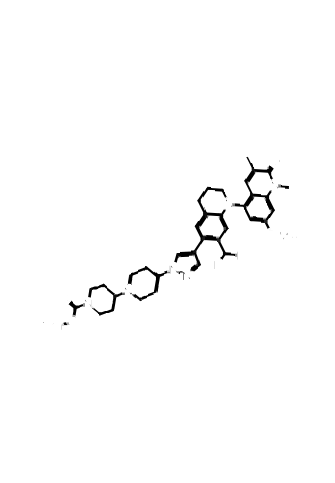 COc1cc(N2CCCc3cc(-c4cnn(C5CCN(C6CCN(C(=O)OC(C)(C)C)CC6)CC5)c4)c(C(F)F)cc32)c2cc(C)c(=O)n(C)c2c1